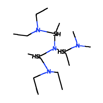 CCN(CC)[SiH](C)N([SiH](C)N(C)C)[SiH](C)N(CC)CC